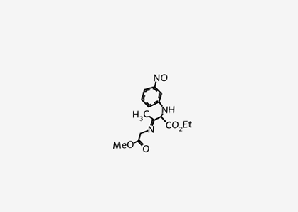 CCOC(=O)C(Nc1cccc(N=O)c1)/C(C)=N/CC(=O)OC